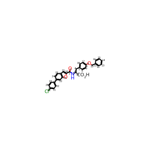 O=C(N[C@@H](Cc1ccc(OCc2ccccc2)cc1)C(=O)O)c1cc2ccc(-c3ccc(Cl)cc3)cc2o1